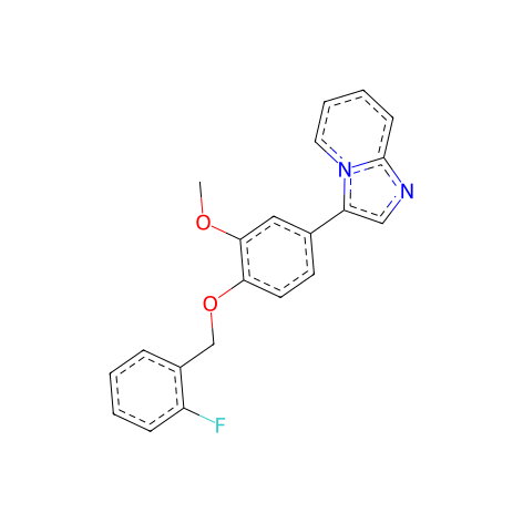 COc1cc(-c2cnc3ccccn23)ccc1OCc1ccccc1F